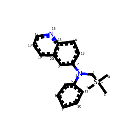 C[Si](C)(C)CN(c1ccccc1)c1ccc2ncccc2c1